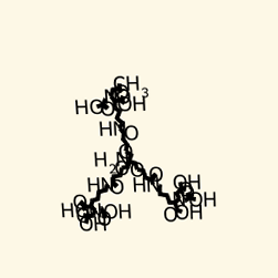 CC(=O)CN(CC(=O)O)C(CCCCNC(=O)CCOCC(N)(COCCC(=O)NCCCCC(C(=O)O)N(CC(=O)O)CC(=O)O)COCCC(=O)NCCCCC(C(=O)O)N(CC(=O)O)CC(=O)O)C(=O)O